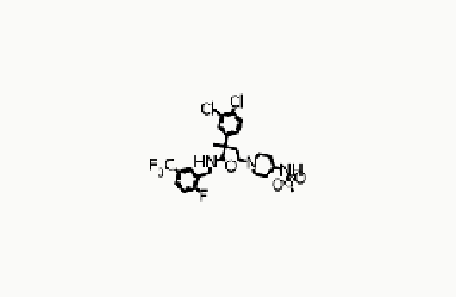 CC(CCN1CCC(NS(C)(=O)=O)CC1)(C(=O)NCc1cc(C(F)(F)F)ccc1F)c1ccc(Cl)c(Cl)c1